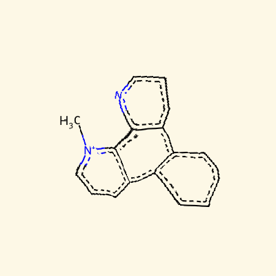 C[n+]1cccc2c3ccccc3c3cccnc3c21